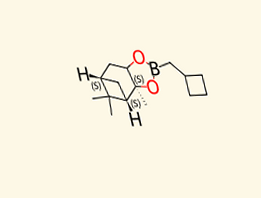 CC1(C)[C@@H]2CC3OB(CC4CCC4)O[C@@]3(C)[C@H]1C2